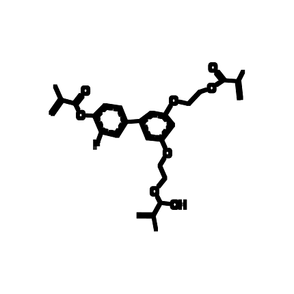 C=C(C)C(=O)OCCOc1cc(OCCOC(O)C(=C)C)cc(-c2ccc(OC(=O)C(=C)C)c(F)c2)c1